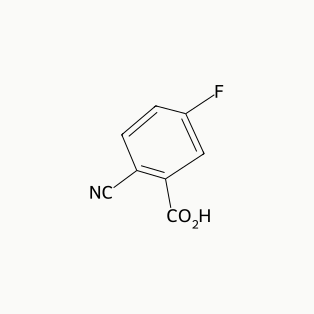 N#Cc1ccc(F)cc1C(=O)O